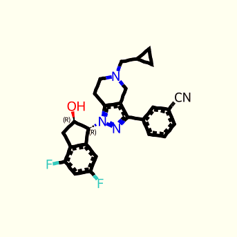 N#Cc1cccc(-c2nn([C@@H]3c4cc(F)cc(F)c4C[C@H]3O)c3c2CN(CC2CC2)CC3)c1